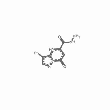 CCc1cnn2c(=O)cc(C(=O)NN)[nH]c12